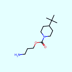 CC(C)(C)C1CCN(C(=O)OCCCN)CC1